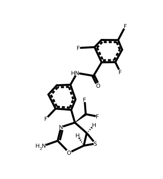 NC1=N[C@@](c2cc(NC(=O)c3c(F)cc(F)cc3F)ccc2F)(C(F)F)[C@H]2S[C@H]2O1